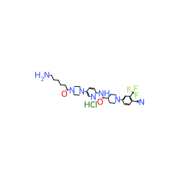 Cl.N#Cc1ccc(N2CCC(C(=O)Nc3ccc(N4CCN(C(=O)CCCCCN)CC4)cn3)CC2)cc1C(F)(F)F